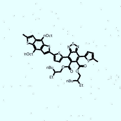 CCCCCCCCc1c2cc(-c3ccc(-c4c(C(=O)OCC(CC)CCCC)c(C(=O)OCC(CC)CCCC)c(-c5ccc(C)s5)c5nsnc45)s3)sc2c(CCCCCCCC)c2cc(C)sc12